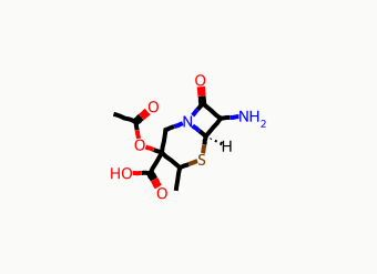 CC(=O)OC1(C(=O)O)CN2C(=O)C(N)[C@H]2SC1C